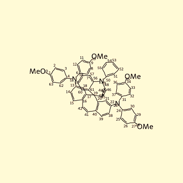 COc1ccc(N(c2ccc(OC)cc2)c2ccc3c(c2)C2(c4cc(N(c5ccc(OC)cc5)c5ccc(OC)cc5)ccc4C=C3)c3ccccc3N(c3ccccc3)c3ccccc32)cc1